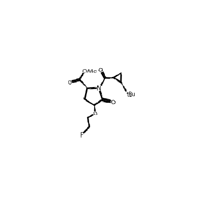 COC(=O)[C@@H]1C[C@H](OCCF)C(=O)N1C(=O)C1C[C@H]1C(C)(C)C